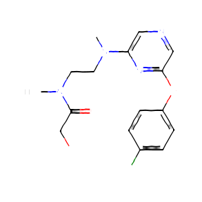 CN(CCN(C)c1cncc(Oc2ccc(F)cc2)n1)C(=O)CO